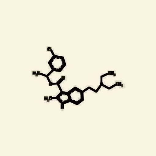 CCN(CC)CCc1ccc2[nH]c(C)c(C(=O)OC(C)c3cccc(Cl)c3)c2c1